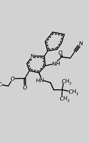 CCOC(=O)c1cnc(-c2ccccc2)c(NC(=O)CC#N)c1NCCC(C)(C)C